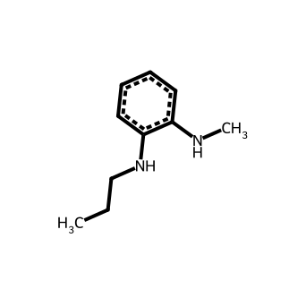 CCCNc1ccccc1NC